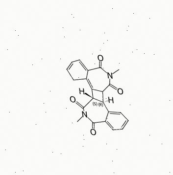 CN1C(=O)C2=CC=CCC2=C2C(C1=O)[C@H]1c3ccccc3C(=O)N(C)C(=O)[C@H]21